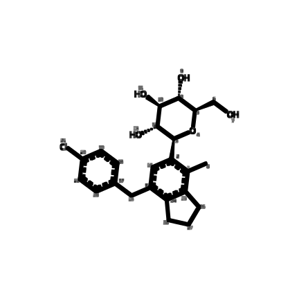 Cc1c([C@@H]2O[C@H](CO)[C@@H](O)[C@H](O)[C@H]2O)cc(Cc2ccc(Cl)cc2)c2c1CCC2